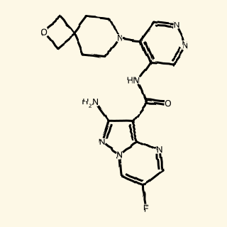 Nc1nn2cc(F)cnc2c1C(=O)Nc1cnncc1N1CCC2(CC1)COC2